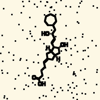 O=C(O)CCC/C=C1\C[C@@H]2C[C@@H](O)[C@H](/C=C/[C@H](O)CC3CCCCCC3)[C@H]2C1